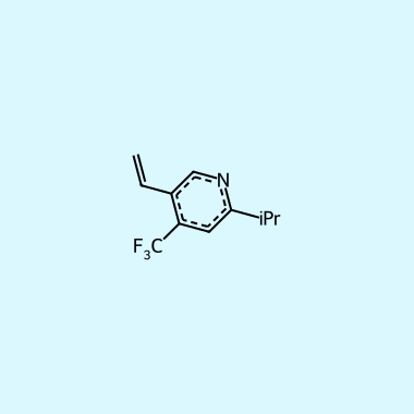 C=Cc1cnc(C(C)C)cc1C(F)(F)F